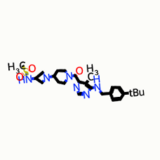 Cc1c(NCc2ccc(C(C)(C)C)cc2)ncnc1C(=O)N1CCC(N2CC(NS(C)(=O)=O)C2)CC1